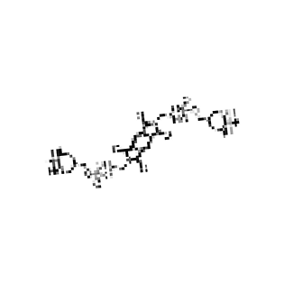 CC(CC(CO)COP(=O)(O)OCCn1c(=O)c2cc3c(=O)n(CCOP(=O)(O)OCC(CO)CC(C)NF)c(=O)c3cc2c1=O)NF